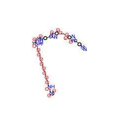 COc1cc2c(cc1OCCCOc1cc3c(cc1OC)C(=O)N1C=C(c4ccc(N5CCN(C)CC5)cc4)CC1C=N3)N=CC1CC(c3ccc(NC(=O)[C@H](C)NC(=O)[C@@H](NC(=O)CCOCCOCCOCCOCCOCCOCCOCCOCCNC(=O)CCN4C(=O)C=CC4=O)C(C)C)cc3)=CN1C2=O